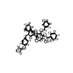 OCC12COC(c3ccc(F)c(Cc4ccc(OC5COC5)cc4)c3)(O1)C(OCc1ccccc1)[C@@H](OCc1ccccc1)[C@H]2OCc1ccccc1